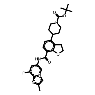 Cc1cn2cc(NC(=O)c3ccc(C4CCN(C(=O)OC(C)(C)C)CC4)c4c3OCC4)cc(F)c2n1